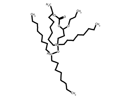 CCCCCCC[CH2][SnH]([CH2]CCCCCCC)[O][Sn]([CH2]CCCCCCC)([CH2]CCCCCCC)[CH2]CC(OCCC)OC(=O)O